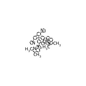 Cc1cc(C)c2ccc3ccc(-c4ccc(C5(c6ccc(-c7ccc8ccc9c(C)cc(C)nc9c8n7)c(C)c6)c6cc(-c7ccccn7)ccc6-c6ccc(-c7ccccn7)cc65)cc4C)nc3c2n1